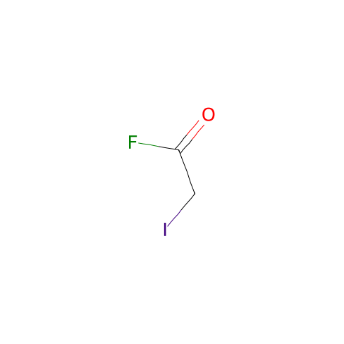 O=C(F)CI